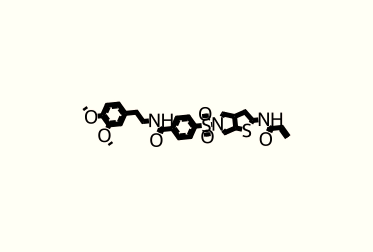 C=CC(=O)NC1CC2CN(S(=O)(=O)c3ccc(C(=O)NCCc4ccc(OC)c(OC)c4)cc3)CC2S1